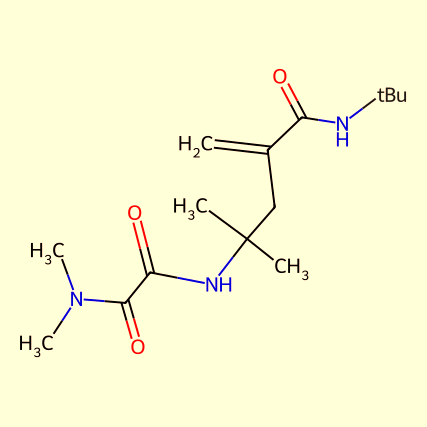 C=C(CC(C)(C)NC(=O)C(=O)N(C)C)C(=O)NC(C)(C)C